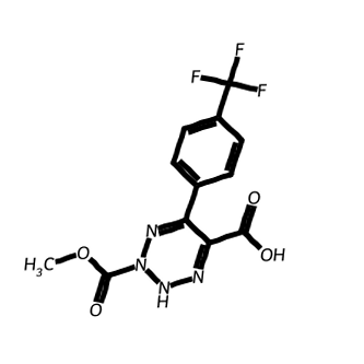 COC(=O)N1N=C(c2ccc(C(F)(F)F)cc2)C(C(=O)O)=NN1